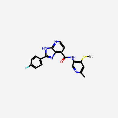 CCSc1cc(C)ncc1NC(=O)c1ccnc2[nH]c(-c3ccc(F)cc3)nc12